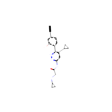 C#Cc1ccc(-c2nnc(NC(=O)CNC3CC3)cc2C2CC2)c(O)c1